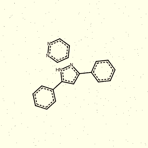 c1ccc(-c2cc(-c3ccccc3)[nH]n2)cc1.c1ccnnc1